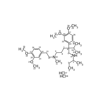 CCC(C)NCC(CCCN(C)CCc1ccc(OC)c(OC)c1)(c1ccc(OC)c(OC)c1)C(C)C.Cl.Cl